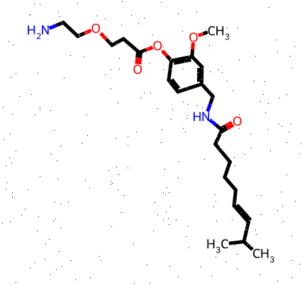 COc1cc(CNC(=O)CCCC/C=C/C(C)C)ccc1OC(=O)CCOCCN